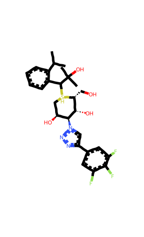 CC(C)c1ccccc1C([SH]1C[C@H](O)[C@H](n2cc(-c3cc(F)c(F)c(F)c3)nn2)[C@@H](O)[C@H]1CO)C(C)(C)O